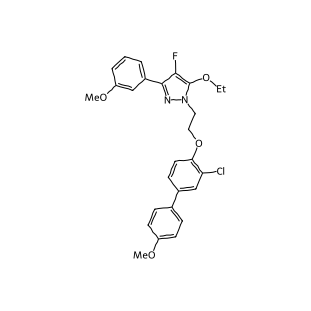 CCOc1c(F)c(-c2cccc(OC)c2)nn1CCOc1ccc(-c2ccc(OC)cc2)cc1Cl